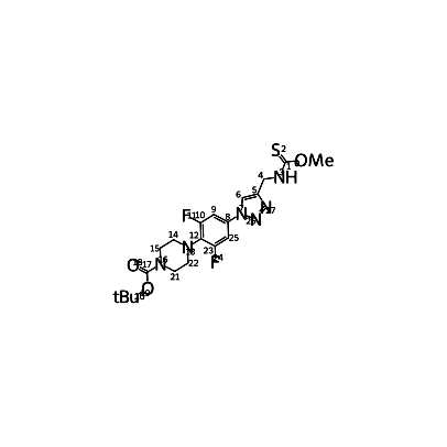 COC(=S)NCc1cn(-c2cc(F)c(N3CCN(C(=O)OC(C)(C)C)CC3)c(F)c2)nn1